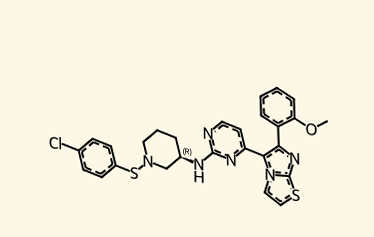 COc1ccccc1-c1nc2sccn2c1-c1ccnc(N[C@@H]2CCCN(Sc3ccc(Cl)cc3)C2)n1